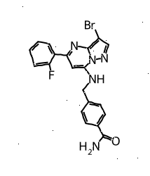 NC(=O)c1ccc(CNc2cc(-c3ccccc3F)nc3c(Br)cnn23)cc1